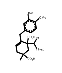 CCCCCCC(CC)C1(C(=O)O)CC(C)(C(=O)O)CC=C1Cc1ccc(OC)c(OC)c1